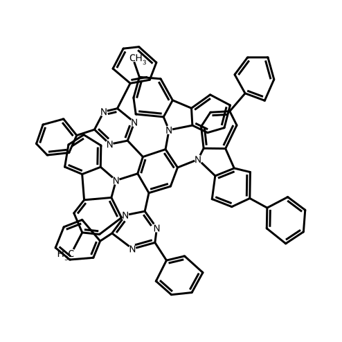 Cc1ccc2c(c1)c1ccccc1n2-c1c(-c2nc(-c3ccccc3)nc(-c3ccccc3)n2)cc(-n2c3ccc(-c4ccccc4)cc3c3cc(-c4ccccc4)ccc32)c(-n2c3ccccc3c3cc(C)ccc32)c1-c1nc(-c2ccccc2)nc(-c2ccccc2)n1